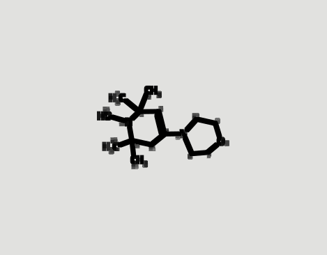 CC1(C)C=C(N2CCOCC2)CC(C)(C)N1O